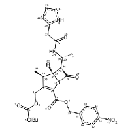 CC(C)COC(=O)OCC1=C(C(=O)OCc2ccc([N+](=O)[O-])cc2)N2C(=O)[C@H]([C@@H](C)NC(=O)Cc3nnn[nH]3)[C@H]2[C@@H]1C